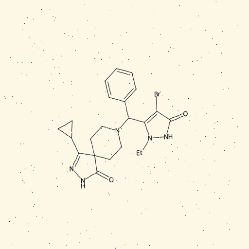 CCn1[nH]c(=O)c(Br)c1C(c1ccccc1)N1CCC2(CC1)C(=O)NN=C2C1CC1